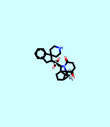 CCN1C(=O)CCC(=O)C12CC1CCC2(CS(=O)(=O)C2Cc3ccccc3C23CCNCC3)C1(C)C